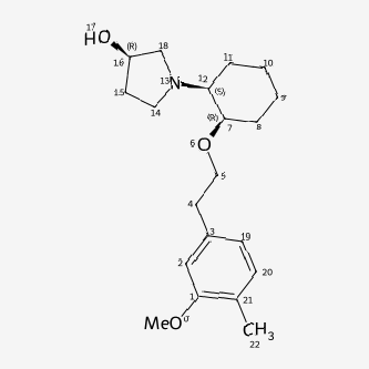 COc1cc(CCO[C@@H]2CCCC[C@@H]2N2CC[C@@H](O)C2)ccc1C